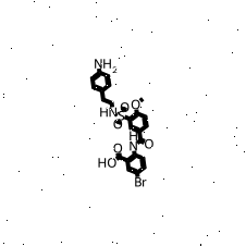 COc1ccc(C(=O)Nc2ccc(Br)cc2C(=O)O)cc1S(=O)(=O)NCCc1ccc(N)cc1